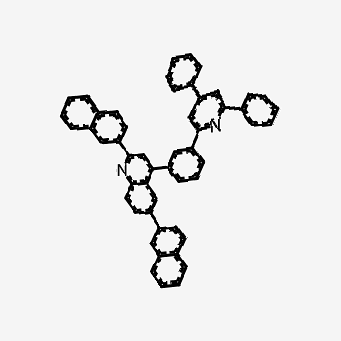 c1ccc(-c2cc(-c3ccccc3)nc(-c3cccc(-c4cc(-c5ccc6ccccc6c5)nc5ccc(-c6ccc7ccccc7c6)cc45)c3)c2)cc1